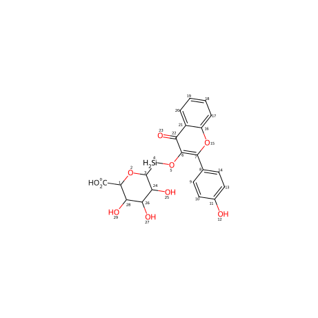 O=C(O)C1OC([SiH2]Oc2c(-c3ccc(O)cc3)oc3ccccc3c2=O)C(O)C(O)C1O